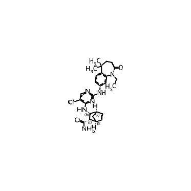 CCN1C(=O)CCC(C)(C)c2ccc(Nc3ncc(Cl)c(N[C@H]4[C@@H](C(N)=O)[C@@H]5C=C[C@H]4C5)n3)cc21